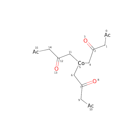 CC(=O)CC(=O)[CH2][Co]([CH2]C(=O)CC(C)=O)[CH2]C(=O)CC(C)=O